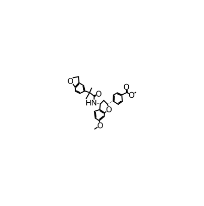 COC(=O)c1ccc([C@H]2C[C@@H](NC(=O)C(C)(C)c3ccc4c(c3)CCO4)c3ccc(OC)cc3O2)cc1